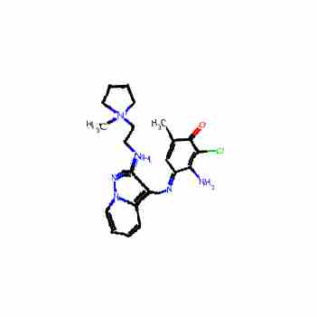 CC1=C/C(=N\c2c(NCC[N+]3(C)CCCC3)nn3ccccc23)C(N)=C(Cl)C1=O